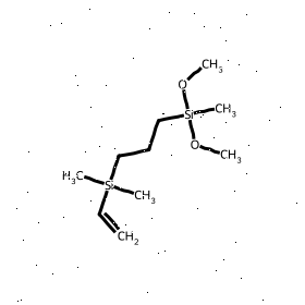 C=C[Si](C)(C)CCC[Si](C)(OC)OC